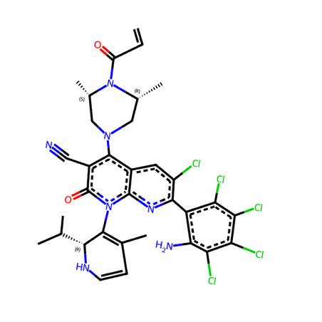 C=CC(=O)N1[C@H](C)CN(c2c(C#N)c(=O)n(C3=C(C)C=CN[C@@H]3C(C)C)c3nc(-c4c(N)c(Cl)c(Cl)c(Cl)c4Cl)c(Cl)cc23)C[C@@H]1C